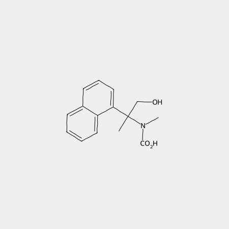 CN(C(=O)O)C(C)(CO)c1cccc2ccccc12